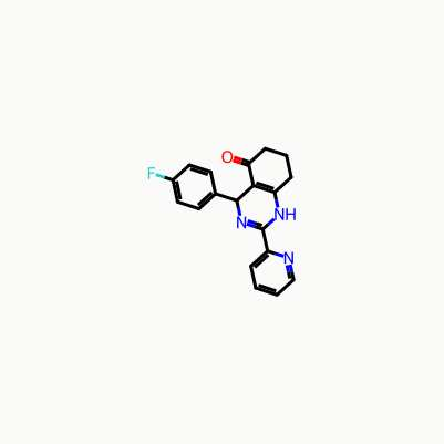 O=C1CCCC2=C1C(c1ccc(F)cc1)N=C(c1ccccn1)N2